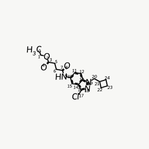 CCOC(=O)CCC(=O)Nc1ccc2c(c1)c(Cl)nn2CC1CCC1